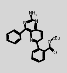 CC(C)(C)OC(=O)c1ccccc1-c1ccc2nc(N)nc(-c3ccccc3)c2n1